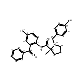 C[C@]1(C(=O)Nc2ccc(Cl)cc2C(=O)c2ccccc2)CCCN1Cc1ccc(F)cc1